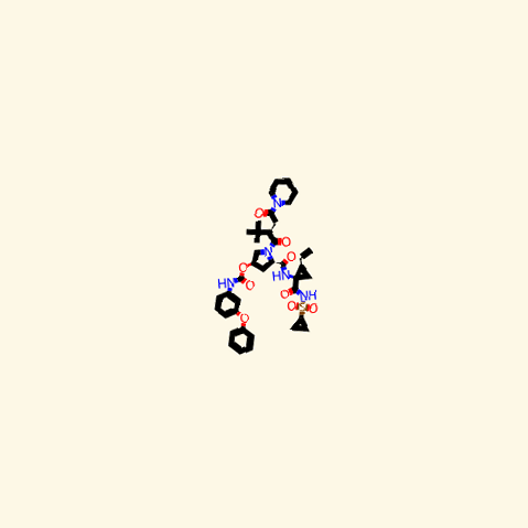 C=C[C@@H]1C[C@]1(NC(=O)[C@@H]1C[C@@H](OC(=O)Nc2cccc(Oc3ccccc3)c2)CN1C(=O)[C@@H](CC(=O)N1CCCCC1)C(C)(C)C)C(=O)NS(=O)(=O)C1CC1